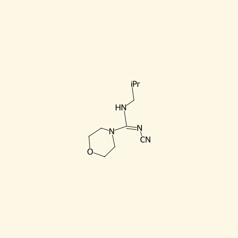 CC(C)CN/C(=N/C#N)N1CCOCC1